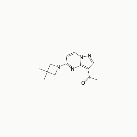 CC(=O)c1cnn2ccc(N3CC(C)(C)C3)nc12